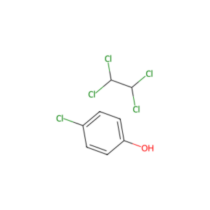 ClC(Cl)C(Cl)Cl.Oc1ccc(Cl)cc1